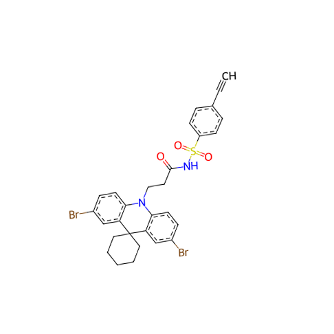 C#Cc1ccc(S(=O)(=O)NC(=O)CCN2c3ccc(Br)cc3C3(CCCCC3)c3cc(Br)ccc32)cc1